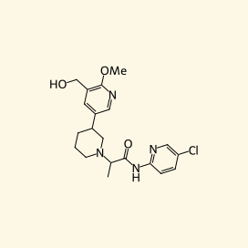 COc1ncc(C2CCCN(C(C)C(=O)Nc3ccc(Cl)cn3)C2)cc1CO